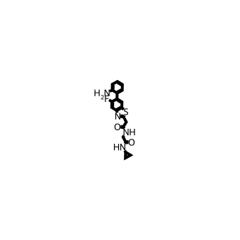 Nc1ccccc1-c1cc2sc(CC(=O)NCC(=O)NC3CC3)nc2cc1F